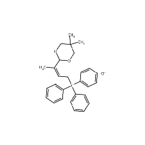 C/C(=C/C[P+](c1ccccc1)(c1ccccc1)c1ccccc1)C1OCC(C)(C)CO1.[Cl-]